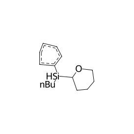 CCCC[SiH](c1ccccc1)C1CCCCO1